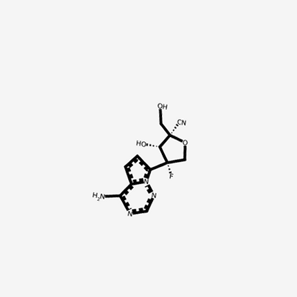 N#C[C@]1(CO)OC[C@@](F)(c2ccc3c(N)ncnn23)[C@@H]1O